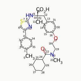 Cc1ccc(-c2csc(N[C@@](C)(Cc3ccc(OCCN(C)C(=O)C4CCCCC4)cc3)C(=O)O)n2)cc1